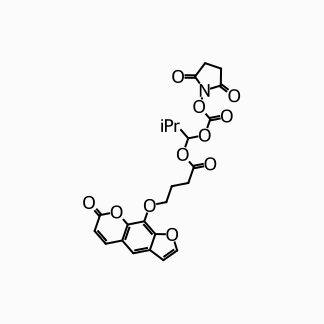 CC(C)C(OC(=O)CCCOc1c2occc2cc2ccc(=O)oc12)OC(=O)ON1C(=O)CCC1=O